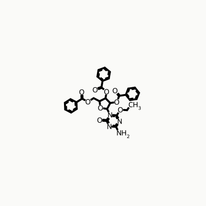 CCOc1nc(N)nc(=O)n1C1OC(COC(=O)c2ccccc2)C(OC(=O)c2ccccc2)C1OC(=O)c1ccccc1